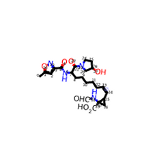 Cc1cc(C(=O)NC(CCCCC/C=C\C2CC2(NC=O)C(=O)O)C(=O)N2CCC(O)C2)no1